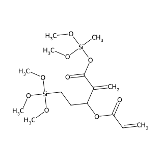 C=CC(=O)OC(CC[Si](OC)(OC)OC)C(=C)C(=O)O[Si](C)(OC)OC